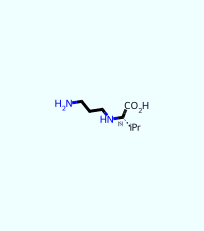 CC(C)[C@H](NCCCN)C(=O)O